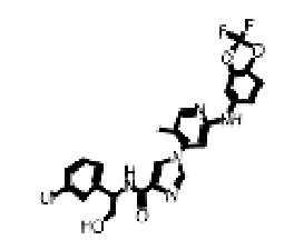 Cc1cnc(Nc2ccc3c(c2)OC(F)(F)O3)cc1-n1cnc(C(=O)NC(CO)c2cccc(Cl)c2)c1